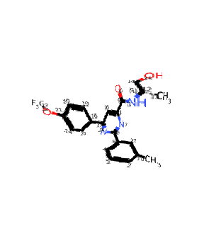 Cc1cccc(-c2nc(C(=O)N[C@@H](C)CO)cc(-c3ccc(OC(F)(F)F)cc3)n2)c1